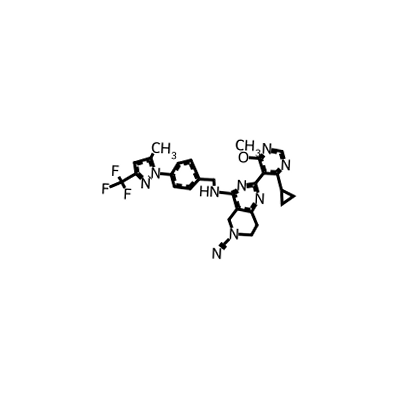 COc1ncnc(C2CC2)c1-c1nc2c(c(NCc3ccc(-n4nc(C(F)(F)F)cc4C)cc3)n1)CN(C#N)CC2